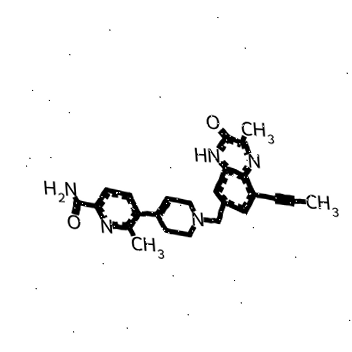 CC#Cc1cc(CN2CC=C(c3ccc(C(N)=O)nc3C)CC2)cc2[nH]c(=O)c(C)nc12